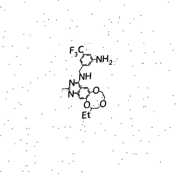 CCC1COCCOc2cc3c(NCc4cc(N)cc(C(F)(F)F)c4)nc(C)nc3cc2O1